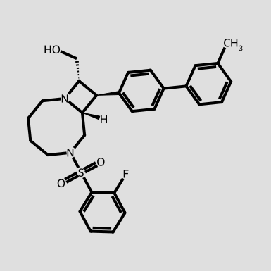 Cc1cccc(-c2ccc([C@@H]3[C@@H](CO)N4CCCCN(S(=O)(=O)c5ccccc5F)C[C@@H]34)cc2)c1